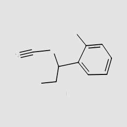 Cc1ccccc1C(CP)SC#N.O